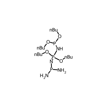 CCCCOP(NP(=NP(N)N)(OCCCC)OCCCC)OCCCC